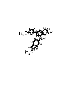 Cc1nc(-c2cc3c(c(Nc4ccc5cn(C)nc5c4)n2)CNC=C3)cs1